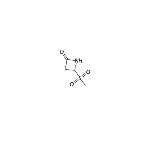 CS(=O)(=O)C1CC(=O)N1